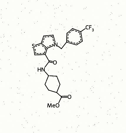 COC(=O)C1CCC(NC(=O)c2csc3ccn(Cc4ccc(C(F)(F)F)cc4)c23)CC1